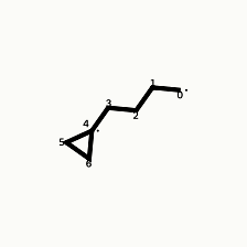 [CH2]CCC[C]1CC1